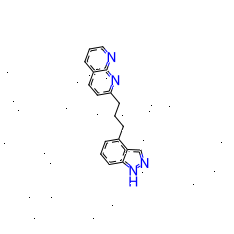 c1cnc2nc(CCCc3cccc4[nH]ncc34)ccc2c1